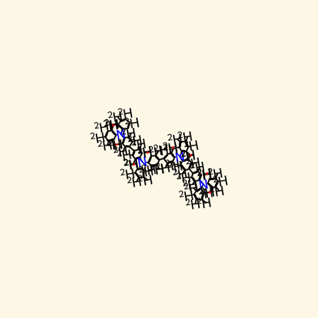 [2H]c1cc(N(c2c([2H])c([2H])c([2H])c([2H])c2[2H])c2c([2H])c([2H])c(-c3c([2H])c([2H])c(N(c4c([2H])c([2H])c([2H])c([2H])c4[2H])c4c([2H])c([2H])c(-c5c([2H])c([2H])c(N(c6c([2H])c([2H])c([2H])c([2H])c6[2H])c6c([2H])c([2H])c(-c7c([2H])c([2H])c(N(c8c([2H])c([2H])c([2H])c([2H])c8[2H])c8c([2H])c([2H])c([2H])c([2H])c8[2H])c([2H])c7[2H])c([2H])c6[2H])c([2H])c5[2H])c([2H])c4[2H])c([2H])c3[2H])c([2H])c2[2H])c([2H])c([2H])c1[2H]